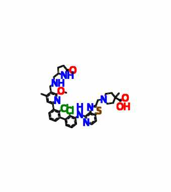 COc1nc(-c2cccc(-c3cccc(Nc4nccc5sc(CN6CCC(C)(C(=O)O)CC6)nc45)c3Cl)c2Cl)cc(C)c1CNCC1CCC(=O)N1